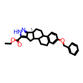 CCOC(=O)c1[nH]nc2c1CC1C3CCc4cc(OCc5ccccc5)ccc4C3CC[C@]21C